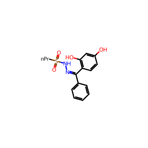 CCCS(=O)(=O)NN=C(c1ccccc1)c1ccc(O)cc1O